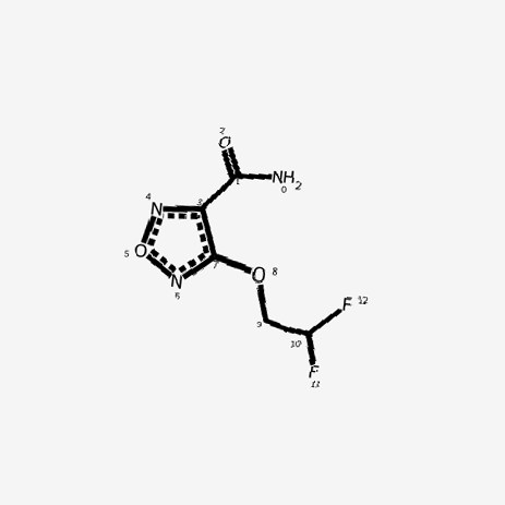 NC(=O)c1nonc1OCC(F)F